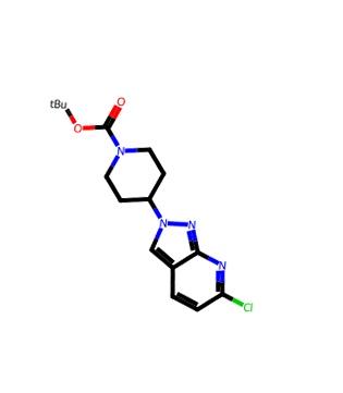 CC(C)(C)OC(=O)N1CCC(n2cc3ccc(Cl)nc3n2)CC1